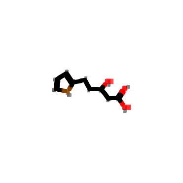 O=C(O)CC(O)CCc1cccs1